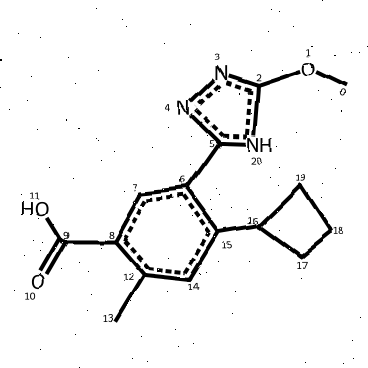 COc1nnc(-c2cc(C(=O)O)c(C)cc2C2CCC2)[nH]1